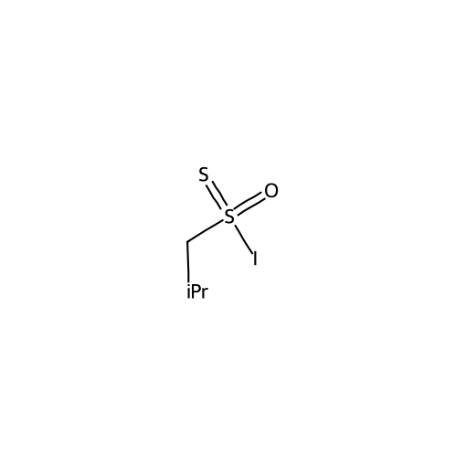 CC(C)CS(=O)(=S)I